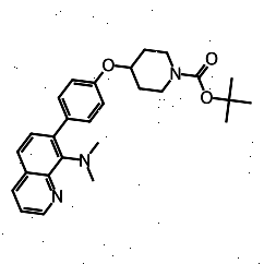 CN(C)c1c(-c2ccc(OC3CCN(C(=O)OC(C)(C)C)CC3)cc2)ccc2cccnc12